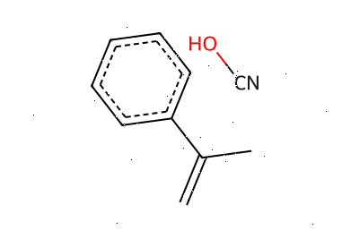 C=C(C)c1ccccc1.N#CO